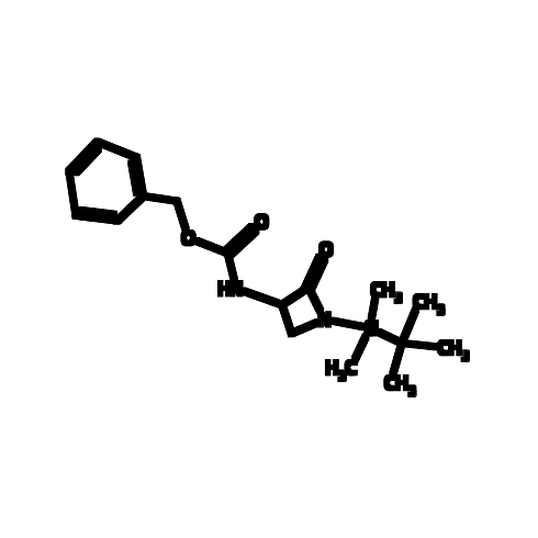 CC(C)(C)[Si](C)(C)N1CC(NC(=O)OCc2ccccc2)C1=O